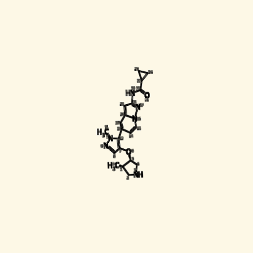 C[C@@H]1CNC[C@@H]1Oc1cnn(C)c1-c1ccn2nc(NC(=O)C3CC3)cc2c1